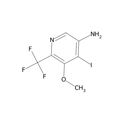 COc1c(C(F)(F)F)ncc(N)c1I